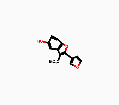 CCOC(=O)c1c(-c2ccoc2)oc2ccc(O)cc12